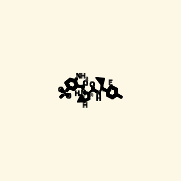 Cc1ccc([C@H](NC(=O)[C@H]2C[C@H]3C[C@H]3N2C(=O)c2cc(S(C)(=O)=O)ccc2N)C2CC2)c(F)c1